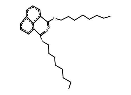 CCCCCCCCOC(=O)c1cccc2cccc(C(=O)OCCCCCCCC)c12